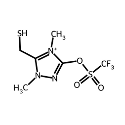 Cn1nc(OS(=O)(=O)C(F)(F)F)[n+](C)c1CS